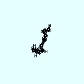 CC(N1CCC(COc2cnc(-c3cccc(Cn4nc(-c5cccc(C#N)c5)ccc4=O)c3)nc2)CC1)N1CCNCC1c1ccc(NC2CCC(=O)NC2=O)cc1F